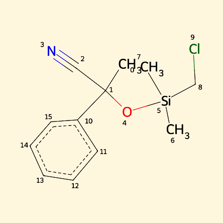 CC(C#N)(O[Si](C)(C)CCl)c1ccccc1